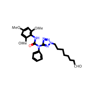 COc1cc(OC)c(NC(=O)N(c2ccccc2)c2nnn(CCCCCCCC=O)n2)c(OC)c1